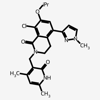 Cc1cc(C)c(CN2CCc3c(-c4ccn(C)n4)cc(OC(C)C)c(Cl)c3C2=O)c(=O)[nH]1